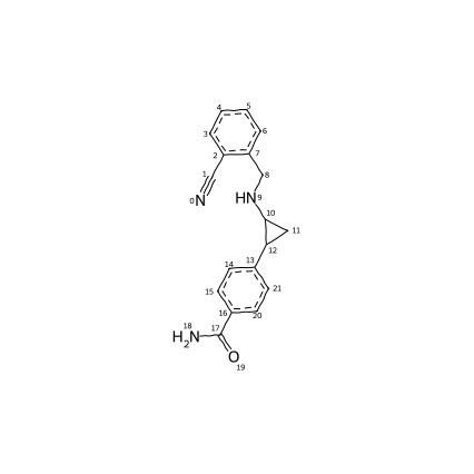 N#Cc1ccccc1CNC1CC1c1ccc(C(N)=O)cc1